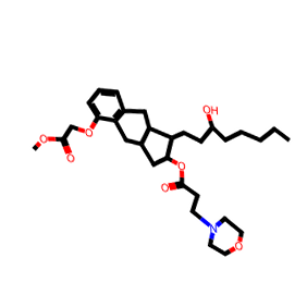 CCCCCC(O)CCC1C(OC(=O)CCN2CCOCC2)CC2Cc3c(cccc3OCC(=O)OC)CC21